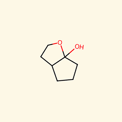 OC12CCCC1CCO2